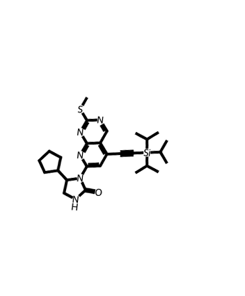 CSc1ncc2c(C#C[Si](C(C)C)(C(C)C)C(C)C)cc(N3C(=O)NCC3C3CCCC3)nc2n1